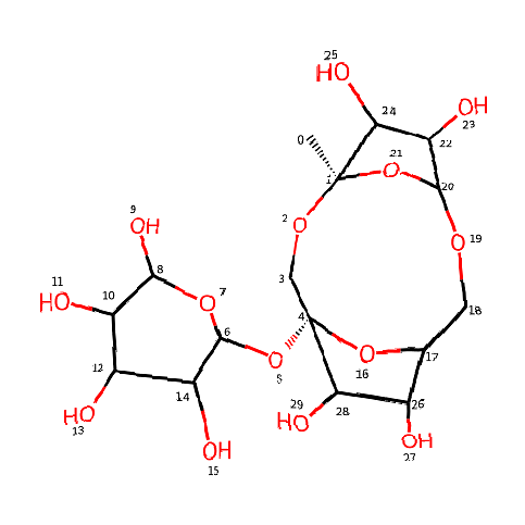 C[C@@]12OC[C@@]3(OC4OC(O)C(O)C(O)C4O)OC(COC(O1)C(O)C2O)C(O)C3O